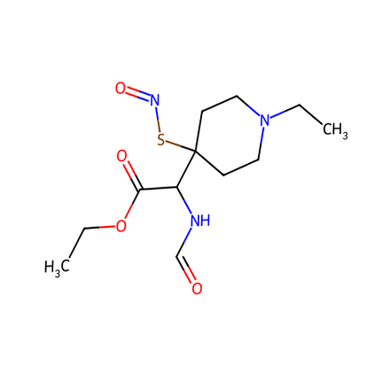 CCOC(=O)C(NC=O)C1(SN=O)CCN(CC)CC1